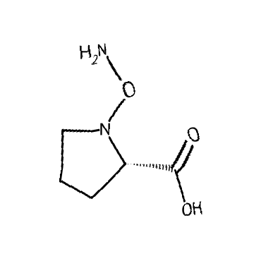 NON1CCC[C@H]1C(=O)O